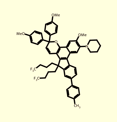 COc1ccc(C2(c3ccc(OC)cc3)C=Cc3c4c(c5cc(N6CCCCC6)c(OC)cc5c3O2)-c2ccc(-c3ccc(C)cc3)cc2C4(CCCC(F)(F)F)CCCC(F)(F)F)cc1